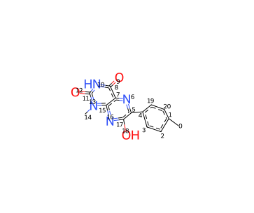 Cc1ccc(-c2nc3c(=O)[nH]c(=O)n(C)c3nc2O)cc1